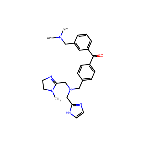 CCCN(CCC)Cc1cccc(C(=O)c2ccc(CN(CC3=NCCN3C)Cc3ncc[nH]3)cc2)c1